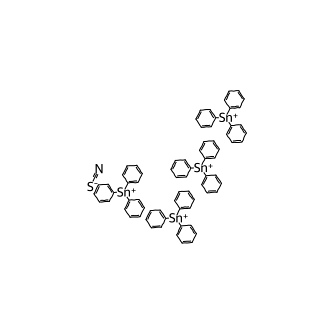 N#C[S-].c1cc[c]([Sn+]([c]2ccccc2)[c]2ccccc2)cc1.c1cc[c]([Sn+]([c]2ccccc2)[c]2ccccc2)cc1.c1cc[c]([Sn+]([c]2ccccc2)[c]2ccccc2)cc1.c1cc[c]([Sn+]([c]2ccccc2)[c]2ccccc2)cc1